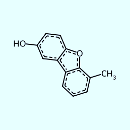 Cc1cccc2c1oc1ccc(O)cc12